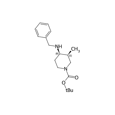 C[C@H]1CN(C(=O)OC(C)(C)C)CC[C@H]1NCc1ccccc1